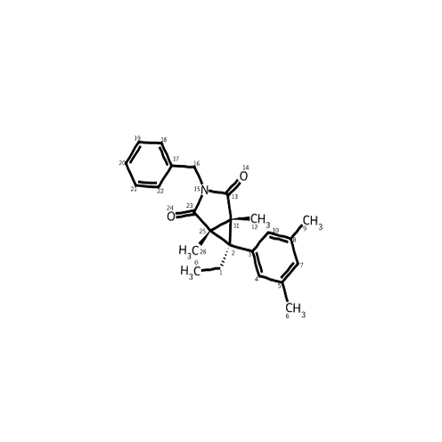 CC[C@@]1(c2cc(C)cc(C)c2)[C@@]2(C)C(=O)N(Cc3ccccc3)C(=O)[C@]21C